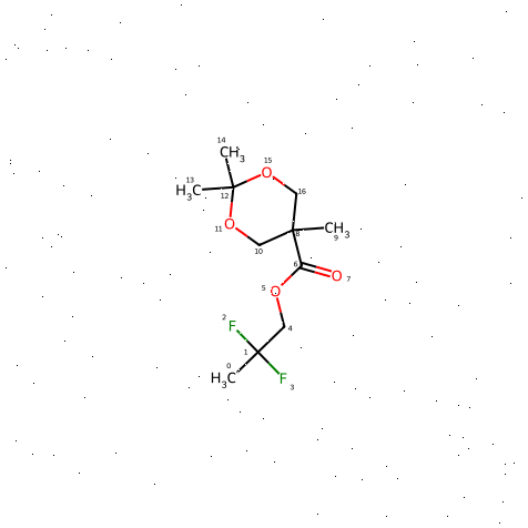 CC(F)(F)COC(=O)C1(C)COC(C)(C)OC1